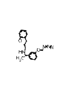 C[C@H](NCCCc1ccccc1Cl)c1cccc(OCN=[N+]=[N-])c1